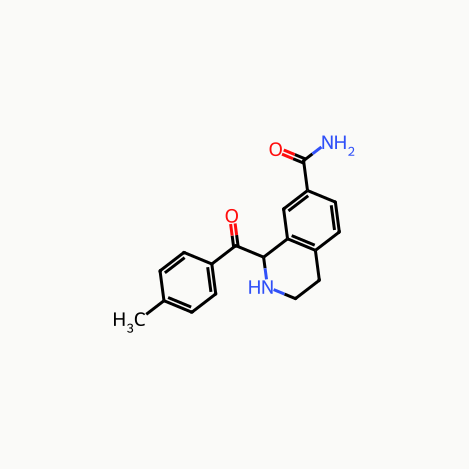 Cc1ccc(C(=O)C2NCCc3ccc(C(N)=O)cc32)cc1